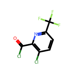 O=C(Cl)c1nc(C(F)(F)F)ccc1Cl